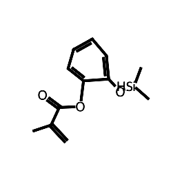 C=C(C)C(=O)Oc1ccccc1O[SiH](C)C